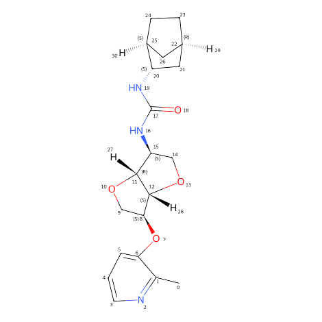 Cc1ncccc1O[C@H]1CO[C@H]2[C@@H]1OC[C@@H]2NC(=O)N[C@H]1C[C@@H]2CC[C@H]1C2